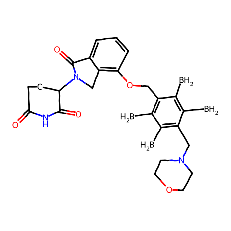 Bc1c(B)c(CN2CCOCC2)c(B)c(B)c1COc1cccc2c1CN(C1CCC(=O)NC1=O)C2=O